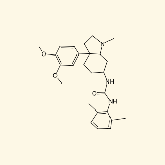 COc1ccc(C23CCC(NC(=O)Nc4c(C)cccc4C)CC2N(C)CC3)cc1OC